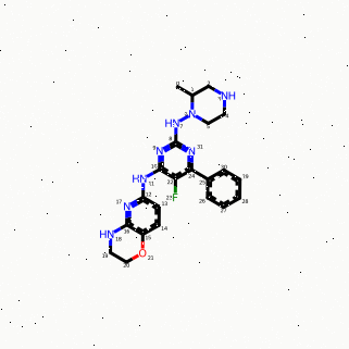 CC1CNCCN1Nc1nc(Nc2ccc3c(n2)NCCO3)c(F)c(-c2ccccc2)n1